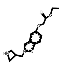 CCOC(=O)COc1ccc2nn(CC3CNC3)cc2c1